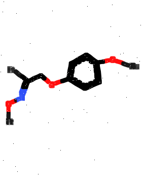 CCON=C(CC)COc1ccc(OC(C)CC)cc1